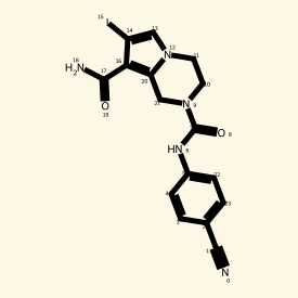 N#Cc1ccc(NC(=O)N2CCn3cc(I)c(C(N)=O)c3C2)cc1